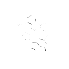 COc1cccc(C2CCN([C@H](C)c3nc4c(cnn4C4CCCC4)c(=O)[nH]3)C2)c1OC